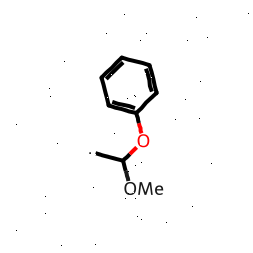 [CH2]C(OC)Oc1ccccc1